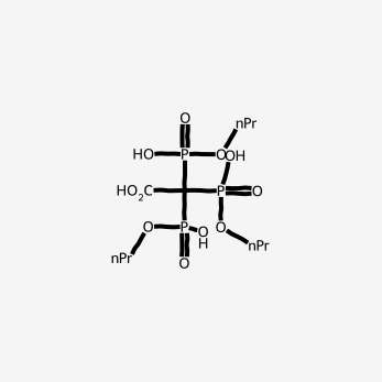 CCCOP(=O)(O)C(C(=O)O)(P(=O)(O)OCCC)P(=O)(O)OCCC